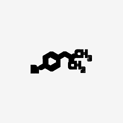 C=C(C)Cc1ccc(Br)cc1